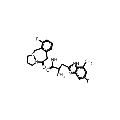 Cc1cc(F)cc2nc(CC(C)C(=O)N[C@@H]3C(=O)N4CCCN4Cc4c(F)cccc43)[nH]c12